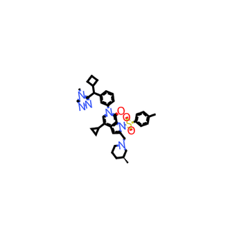 Cc1ccc(S(=O)(=O)n2c(CN3CCC[C@H](C)C3)cc3c(C4CC4)cn(-c4cccc(C(c5nncn5C)C5CCC5)c4)c(=O)c32)cc1